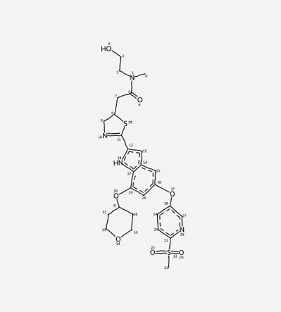 CN(CCO)C(=O)CC1CN=C(c2cc3cc(Oc4ccc(S(C)(=O)=O)nc4)cc(OC4CCOCC4)c3[nH]2)S1